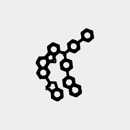 c1ccc(-c2ccc(N(c3ccc(-c4ccc5ccccc5c4)cc3)c3cccc4c3oc3c5cc(C6=Nc7ccccc7C6)ccc5ccc43)cc2)cc1